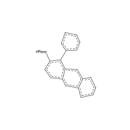 CCCCCc1ccc2cc3ccccc3cc2c1-c1ccccc1